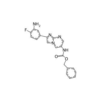 Nc1cc(-c2cn3cc(NC(=O)OCc4ccccc4)cnc3n2)ccc1F